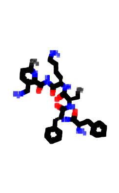 CC(C)C[C@@H](NC(=O)[C@@H](Cc1ccccc1)NC(=O)[C@H](N)Cc1ccccc1)C(=O)N[C@H](CCCCN)C(=O)NC(=O)c1nc(C(F)(F)F)ccc1CN